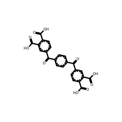 O=C(c1ccc(C(=O)c2ccc(C(=O)O)c(C(=O)O)c2)cc1)c1ccc(C(=O)O)c(C(=O)O)c1